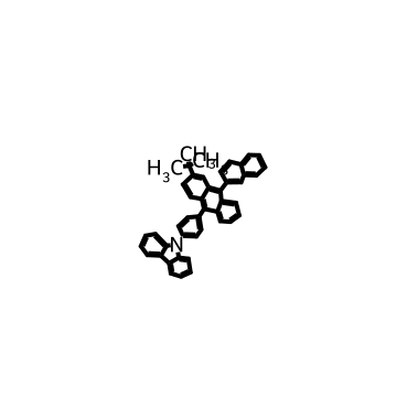 CC(C)(C)c1ccc2c(-c3ccc(-n4c5ccccc5c5ccccc54)cc3)c3ccccc3c(-c3ccc4ccccc4c3)c2c1